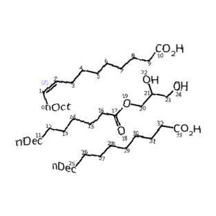 CCCCCCCC/C=C\CCCCCCCC(=O)O.CCCCCCCCCCCCCCCC(=O)OCC(O)CO.CCCCCCCCCCCCCCCCCC(=O)O